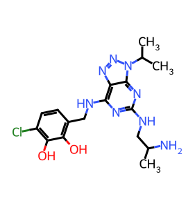 CC(N)CNc1nc(NCc2ccc(Cl)c(O)c2O)c2nnn(C(C)C)c2n1